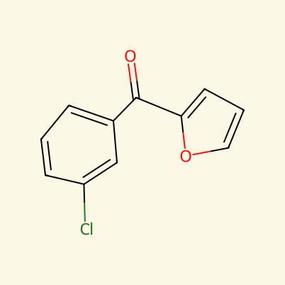 O=C(c1cccc(Cl)c1)c1ccco1